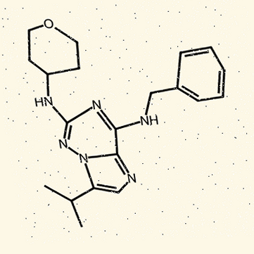 CC(C)c1cnc2c(NCc3ccccc3)nc(NC3CCOCC3)nn12